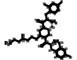 Cc1ccc(CC(N)C(=O)N2CC(CCCNCCN)N(C(=O)[C@H](N)Cc3ccc(C)cc3C)C[C@H]2C)c(C)c1